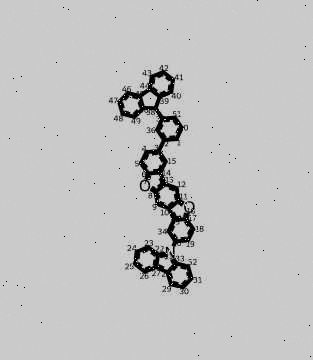 c1cc(-c2ccc3oc4cc5c(cc4c3c2)oc2ccc(-n3c4ccccc4c4ccccc43)cc25)cc(C2c3ccccc3-c3ccccc32)c1